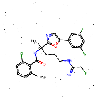 COc1cccc(Cl)c1C(=O)N[C@](C)(CCCNC(=N)CF)c1ncc(-c2cc(F)cc(F)c2)o1